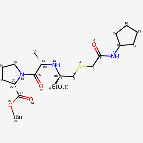 CCOC(=O)[C@H](CSCC(=O)NC1CCCC1)N[C@@H](C)C(=O)N1CCC[C@H]1C(=O)OC(C)(C)C